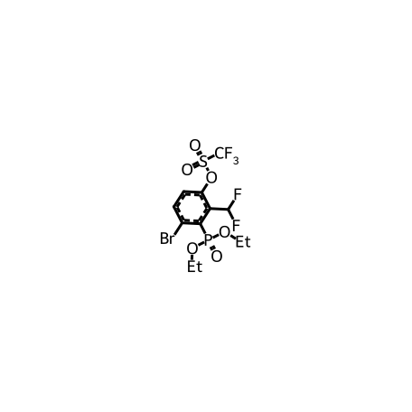 CCOP(=O)(OCC)c1c(Br)ccc(OS(=O)(=O)C(F)(F)F)c1C(F)F